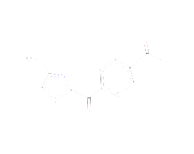 CCC(=O)c1ccc(C(=O)c2ccc(SC)[nH]2)cc1